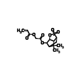 C=CC(=O)OCC(=O)OC1C2OS(=O)(=O)C3CC1C(C)(C)C23